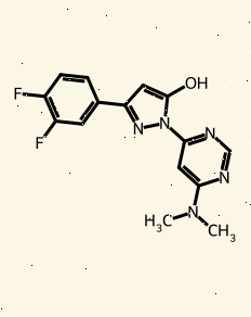 CN(C)c1cc(-n2nc(-c3ccc(F)c(F)c3)cc2O)ncn1